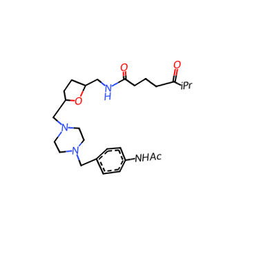 CC(=O)Nc1ccc(CN2CCN(CC3CCC(CNC(=O)CCCC(=O)C(C)C)O3)CC2)cc1